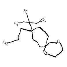 CC(C)(O)C1(CCO)CCC2(CC1)OCCO2